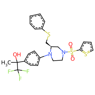 CC(O)(c1ccc(N2CCN(S(=O)(=O)c3cccs3)C[C@@H]2CSc2ccccc2)cc1)C(F)(F)F